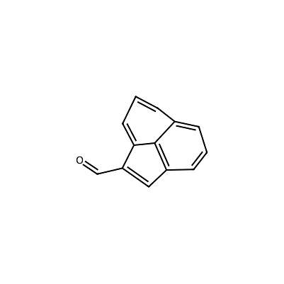 O=CC1=Cc2cccc3cccc1c23